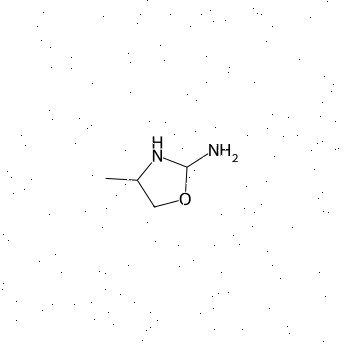 CC1COC(N)N1